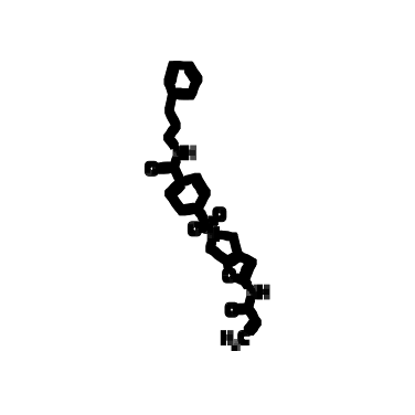 C=CC(=O)Nc1cc2c(o1)CN(S(=O)(=O)c1ccc(C(=O)NCCCc3ccccc3)cc1)C2